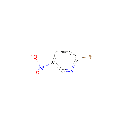 O=[N+](O)c1ccc(Br)nc1